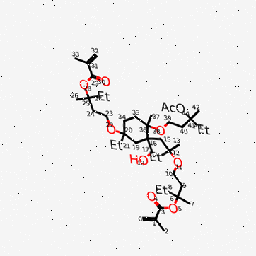 C=C(C)C(=O)OC(C)(CC)CCOC(C)(CC)CC1(CO)CC(CC)(OCCC(C)(CC)OC(=O)C(=C)C)CCC1(C)OCCC(C)(CC)OC(C)=O